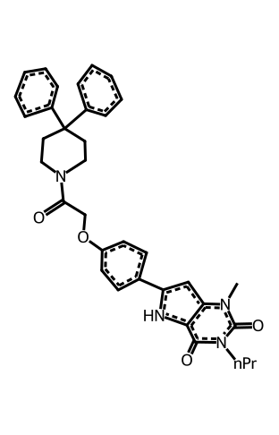 CCCn1c(=O)c2[nH]c(-c3ccc(OCC(=O)N4CCC(c5ccccc5)(c5ccccc5)CC4)cc3)cc2n(C)c1=O